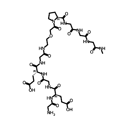 CNC(=O)CNC(=O)CNC(=O)CNC(=O)[C@@H]1CCCN1C(=O)COCCNC(=O)CNC(=O)[C@@H](CCC(=O)O)NC(=O)CNC(=O)[C@@H](CCC(=O)O)NC(=O)CN